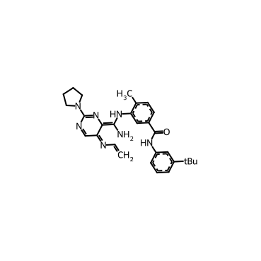 C=C/N=C1/C=NC(N2CCCC2)=N/C1=C(/N)Nc1cc(C(=O)Nc2cccc(C(C)(C)C)c2)ccc1C